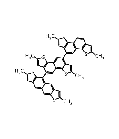 Cc1cc2cc3c(-c4cc5c(cc(-c6cc7c(ccc8cc(C)sc87)c7sc(C)cc67)c6cc(C)sc65)c5sc(C)cc45)c4sc(C)cc4cc3cc2s1